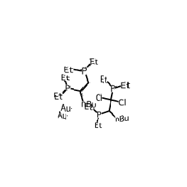 CCCCC(CP(CC)CC)P(CC)CC.CCCCC(P(CC)CC)C(Cl)(Cl)P(CC)CC.[Au].[Au]